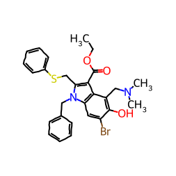 CCOC(=O)c1c(CSc2ccccc2)n(Cc2ccccc2)c2cc(Br)c(O)c(CN(C)C)c12